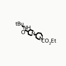 CCOC(=O)N1CCCC(N2CCC(C(=O)NCC(C)(C)C)CC2)CC1